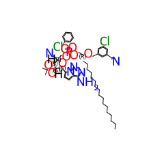 CCCCCCCCCCCCCCCCC[C@H](COP(=O)(OC[C@@]1(C#N)O[C@@H](c2ccc3c(N)ncnn23)[C@@H]2OC(C)(C)O[C@@H]21)Oc1ccccc1Cl)OCc1cc(Cl)cc(C#N)c1